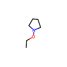 CCON1CCCC1